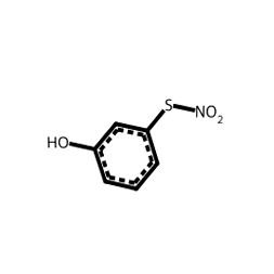 O=[N+]([O-])Sc1cccc(O)c1